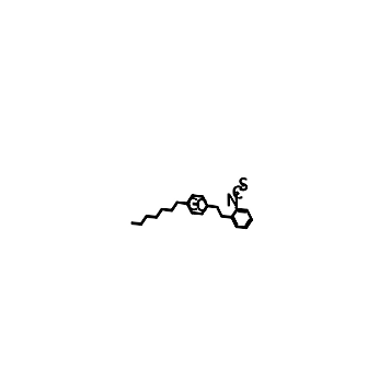 CCCCCCCC12CCC(CCc3ccccc3N=C=S)(CC1)CC2